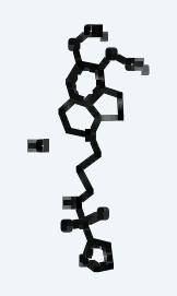 COc1cc2c3c(c1OC)CCC3N(CCCNS(=O)(=O)c1cccs1)CC2.Cl